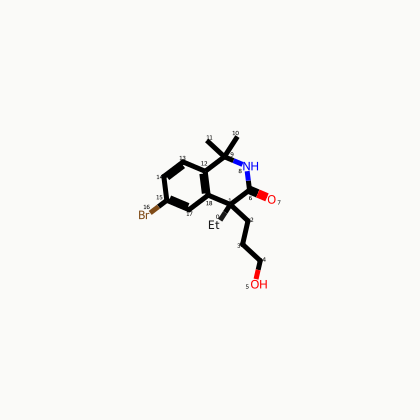 CCC1(CCCO)C(=O)NC(C)(C)c2ccc(Br)cc21